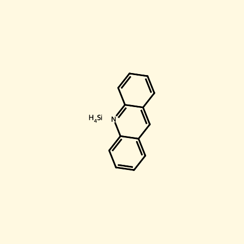 [SiH4].c1ccc2nc3ccccc3cc2c1